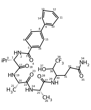 CC(C)[C@H](NC(=O)c1ccc(-c2ccccc2)cc1)C(=O)N[C@@H](C)C(=O)N[C@@H](C)C(=O)NC(CCC(N)=O)C(O)C(F)(F)F